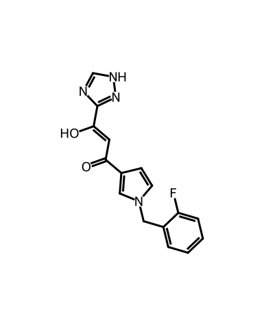 O=C(C=C(O)c1nc[nH]n1)c1ccn(Cc2ccccc2F)c1